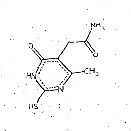 Cc1nc(S)[nH]c(=O)c1CC(N)=O